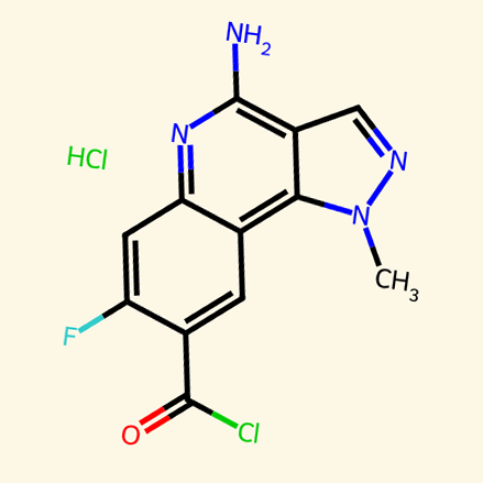 Cl.Cn1ncc2c(N)nc3cc(F)c(C(=O)Cl)cc3c21